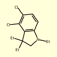 CCN1CC(CC)(CC)c2c1ccc(Cl)c2Cl